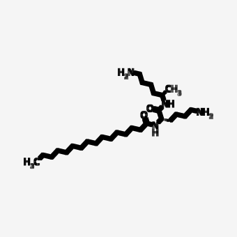 CCCCCCCCCCCCCCCC(=O)N[C@@H](CCCCN)C(=O)N[C@H](C)CCCCN